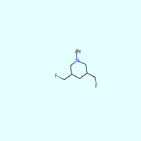 CC(C)N1CC(CF)CC(CF)C1